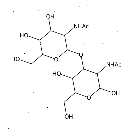 CC(=O)NC1C(OC2C(O)C(CO)OC(O)C2NC(C)=O)OC(CO)C(O)C1O